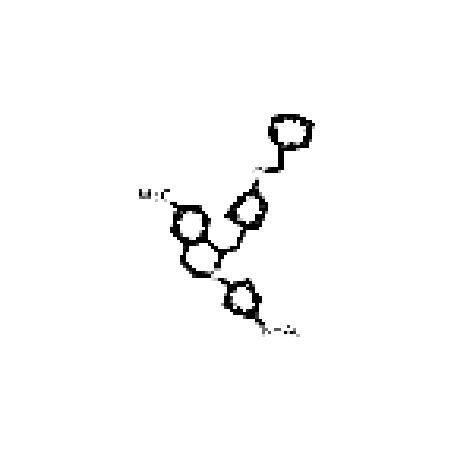 COc1ccc2c(c1)CCN(c1ccc(NC(C)=O)cc1)C2Cc1ccc(OCc2ccccc2)cc1